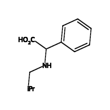 CC(C)CNC(C(=O)O)c1ccccc1